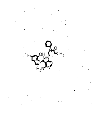 C=CC(=O)N(CCn1nc(-n2ccc3cc(F)cc(O)c32)c2c(N)ncnc21)c1ccccc1